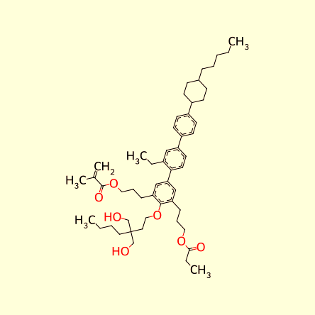 C=C(C)C(=O)OCCCc1cc(-c2ccc(-c3ccc(C4CCC(CCCCC)CC4)cc3)cc2CC)cc(CCCOC(=O)CC)c1OCCC(CO)(CO)CCCC